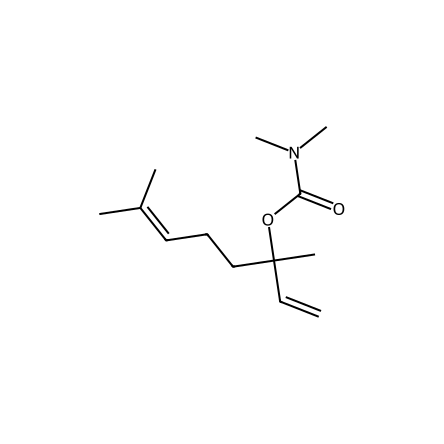 C=CC(C)(CCC=C(C)C)OC(=O)N(C)C